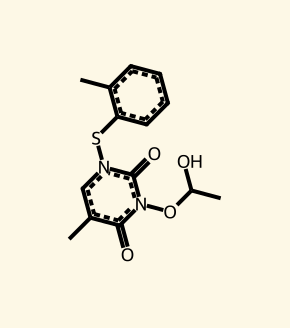 Cc1ccccc1Sn1cc(C)c(=O)n(OC(C)O)c1=O